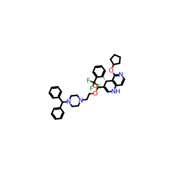 O=C(OCCN1CCN(C(c2ccccc2)c2ccccc2)CC1)C1=CNc2ccnc(OC3CCCC3)c2[C@H]1c1ccccc1C(F)(F)F